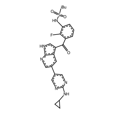 CCC(C)S(=O)(=O)Nc1cccc(C(=O)c2c[nH]c3ncc(-c4cnc(NC5CC5)nc4)cc23)c1F